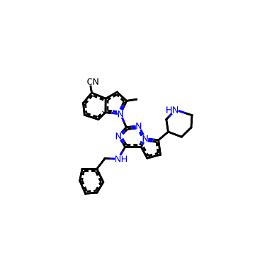 Cc1cc2c(C#N)cccc2n1-c1nc(NCc2ccccc2)c2ccc(C3CCCNC3)n2n1